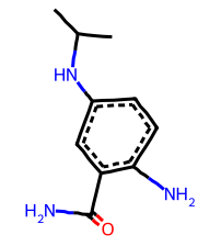 CC(C)Nc1ccc(N)c(C(N)=O)c1